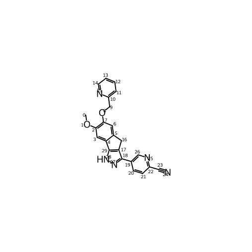 COc1cc2c(cc1OCc1ccccn1)Cc1c(-c3ccc(C#N)nc3)n[nH]c1-2